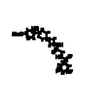 COc1ccc([C@]2(O)CC[C@H](N3CC(NC(=O)CNC(=O)c4cc(F)cc(F)c4)C3)CC2)cn1